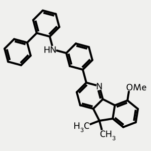 COc1cccc2c1-c1nc(-c3cccc(Nc4ccccc4-c4ccccc4)c3)ccc1C2(C)C